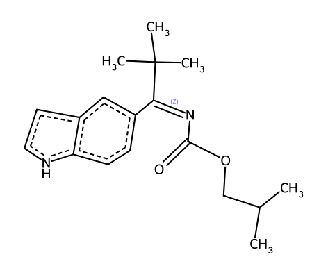 CC(C)COC(=O)/N=C(\c1ccc2[nH]ccc2c1)C(C)(C)C